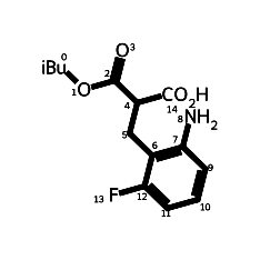 CCC(C)OC(=O)C(Cc1c(N)cccc1F)C(=O)O